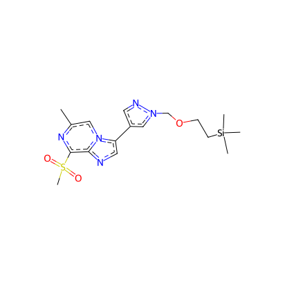 Cc1cn2c(-c3cnn(COCC[Si](C)(C)C)c3)cnc2c(S(C)(=O)=O)n1